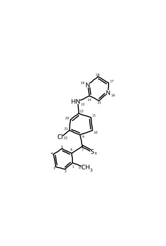 Cc1ccccc1C(=S)c1ccc(Nc2cnccn2)cc1Cl